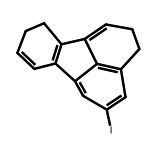 Ic1cc2c3c(c1)C1=C(CCC=C1)C3=CCC2